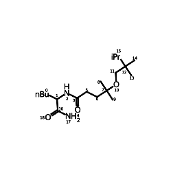 CCCCC(NC(=O)CCC(C)(C)OCC(C)(C)C(C)C)C(N)=O